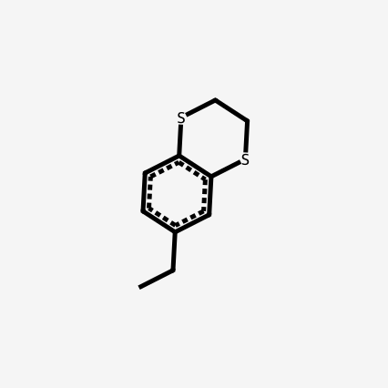 CCc1ccc2c(c1)SCCS2